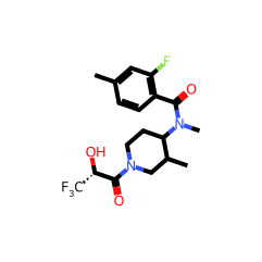 Cc1ccc(C(=O)N(C)C2CCN(C(=O)[C@@H](O)C(F)(F)F)CC2C)c(F)c1